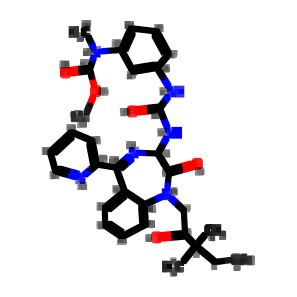 CC(=O)OCC(C)(C)C(=O)CN1C(=O)C(NC(=O)Nc2cccc(N(C)C(=O)OC(C)(C)C)c2)N=C(c2ccccn2)c2ccccc21